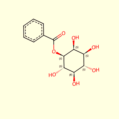 O=C(O[C@@H]1[C@@H](O)[C@H](O)[C@@H](O)[C@H](O)[C@@H]1O)c1ccccc1